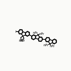 CCCC1(CCC)c2ccccc2-c2ccc(-c3ccc4c(c3)C(CCC)(CCC)c3cc(-c5ccc6c(c5)C(CC(C)CC)(CC(C)CC)c5cc(I)ccc5-6)ccc3-4)cc21